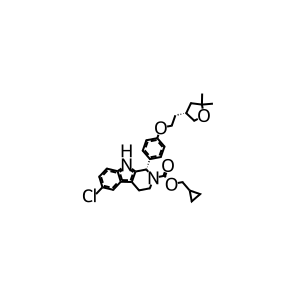 CC1(C)C[C@@H](CCOc2ccc([C@H]3c4[nH]c5ccc(Cl)cc5c4CCN3C(=O)OCC3CC3)cc2)CO1